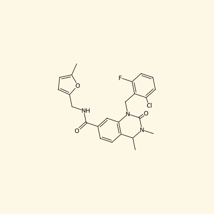 Cc1ccc(CNC(=O)c2ccc3c(c2)N(Cc2c(F)cccc2Cl)C(=O)N(C)C3C)o1